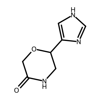 O=C1COC(c2c[nH]cn2)CN1